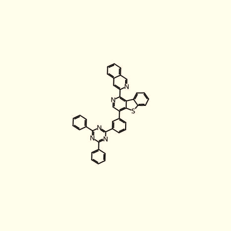 c1ccc(-c2nc(-c3ccccc3)nc(-c3cccc(-c4cnc(-c5cc6ccccc6cn5)c5c4sc4ccccc45)c3)n2)cc1